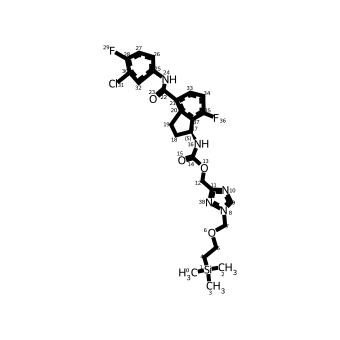 C[Si](C)(C)CCOCn1cnc(COC(=O)N[C@H]2CCc3c(C(=O)Nc4ccc(F)c(Cl)c4)ccc(F)c32)n1